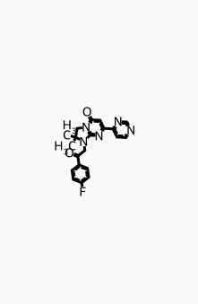 CC1(C)Cn2c(nc(-c3ccncn3)cc2=O)N1CC(=O)c1ccc(F)cc1